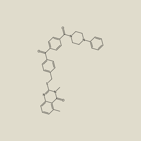 Cc1cccc2nc(SCc3ccc(C(=O)c4ccc(C(=O)N5CCN(c6ccccc6)CC5)cc4)cc3)n(C)c(=O)c12